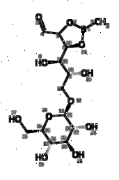 CB1OC(C=O)[C@H]([C@H](O)[C@H](O)CO[C@@H]2O[C@H](CO)[C@@H](O)[C@H](O)[C@H]2O)O1